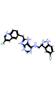 Clc1cnc2ccc(Cc3nc4ncnc(NCc5n[nH]c6ccc(Cl)cc56)c4[nH]3)cc2c1